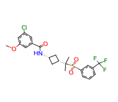 COc1cc(Cl)cc(C(=O)N[C@H]2C[C@@H](C(C)(C)S(=O)(=O)c3cccc(C(F)(F)F)c3)C2)c1